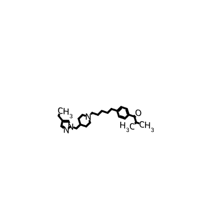 CCc1cnn(CC2CCN(CCCCCc3ccc(C(=O)C(C)C)cc3)CC2)c1